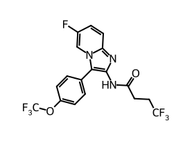 O=C(CCC(F)(F)F)Nc1nc2ccc(F)cn2c1-c1ccc(OC(F)(F)F)cc1